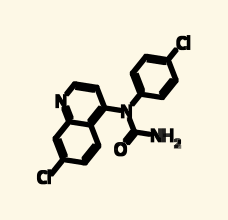 NC(=O)N(c1ccc(Cl)cc1)c1ccnc2cc(Cl)ccc12